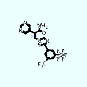 NC(=O)/C(=C\n1cnc(-c2cc(C(F)(F)F)cc(S(F)(F)(F)(F)F)c2)n1)c1cncnc1